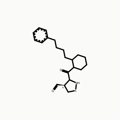 O=C[C@@H]1CSNC1C(=O)C1CCCCC1CCCCc1ccccc1